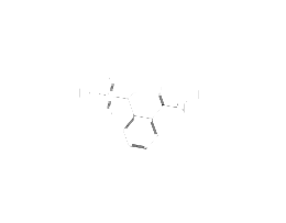 CNC(=O)c1ccccc1C(C)S(C)(=O)=O